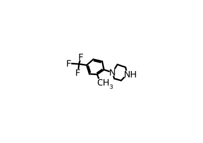 Cc1cc(C(F)(F)F)ccc1N1CCNCC1